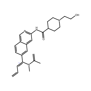 C=C/C=C(/c1ccc2cnc(NC(=O)C3CCN(CCO)CC3)cc2c1)N(C)C(=C)C